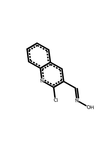 ON=Cc1cc2ccccc2nc1Cl